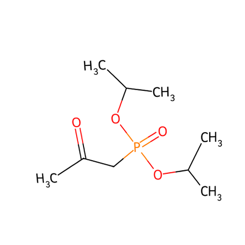 CC(=O)CP(=O)(OC(C)C)OC(C)C